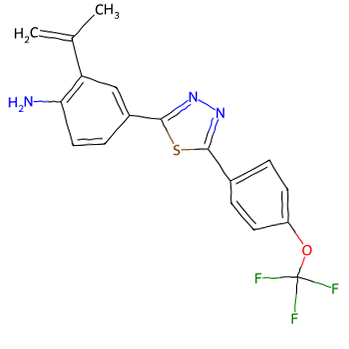 C=C(C)c1cc(-c2nnc(-c3ccc(OC(F)(F)F)cc3)s2)ccc1N